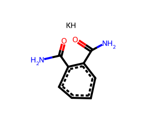 NC(=O)c1ccccc1C(N)=O.[KH]